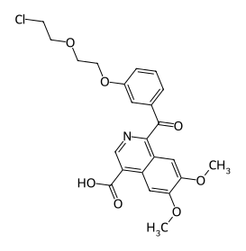 COc1cc2c(C(=O)O)cnc(C(=O)c3cccc(OCCOCCCl)c3)c2cc1OC